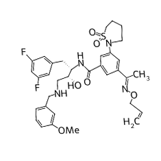 C=CCO/N=C(\C)c1cc(C(=O)N[C@@H](Cc2cc(F)cc(F)c2)[C@H](O)CNCc2cccc(OC)c2)cc(N2CCCCS2(=O)=O)c1